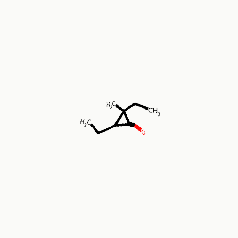 CCC1C(=O)C1(C)CC